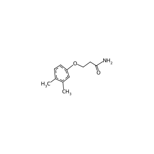 Cc1ccc(OCCC(N)=O)cc1C